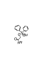 CCCC(=O)CO[Si](c1ccccc1)(c1ccccc1)C(C)(C)C